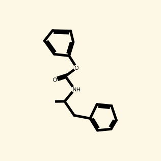 CC(Cc1ccccc1)NC(=O)Oc1ccccc1